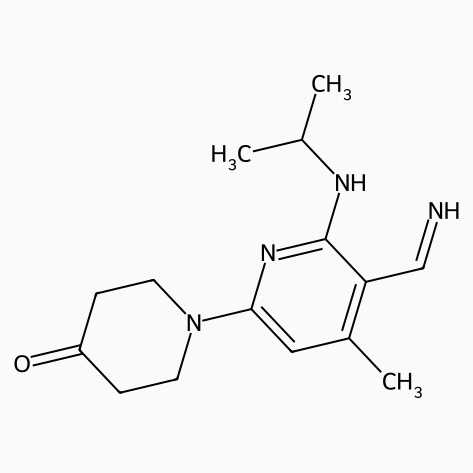 Cc1cc(N2CCC(=O)CC2)nc(NC(C)C)c1C=N